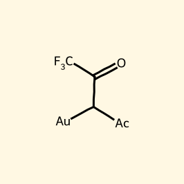 CC(=O)[CH]([Au])C(=O)C(F)(F)F